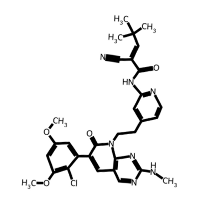 CNc1ncc2cc(-c3cc(OC)cc(OC)c3Cl)c(=O)n(CCc3ccnc(NC(=O)C(C#N)=CC(C)(C)C)c3)c2n1